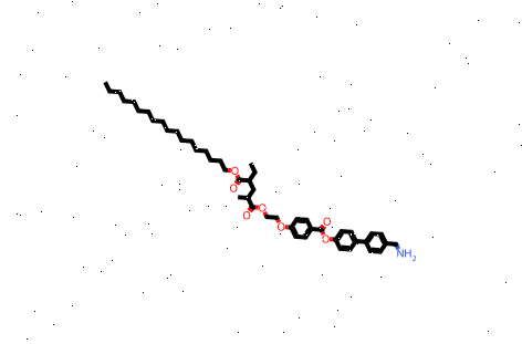 CCCCCCCCCCCCCCCCCCOC(=O)C(CC)CC(C)C(=O)OCCOc1ccc(C(=O)Oc2ccc(-c3ccc(CN)cc3)cc2)cc1